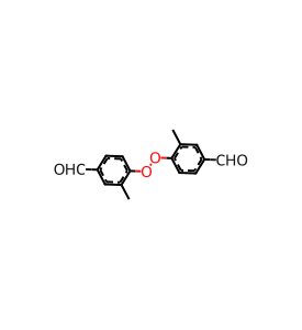 Cc1cc(C=O)ccc1OOc1ccc(C=O)cc1C